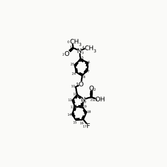 CC(=O)N(C)c1ccc(OCc2cc3ccc(F)cc3n2C(=O)O)cc1